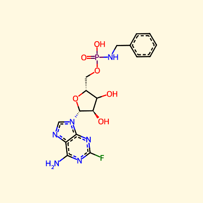 Nc1nc(F)nc2c1ncn2[C@@H]1O[C@H](COP(=O)(O)NCc2ccccc2)C(O)[C@H]1O